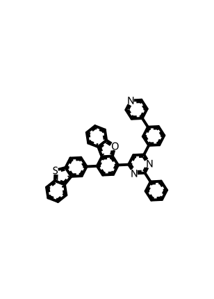 c1ccc(-c2nc(-c3cccc(-c4ccncc4)c3)cc(-c3ccc(-c4ccc5sc6ccccc6c5c4)c4c3oc3ccccc34)n2)cc1